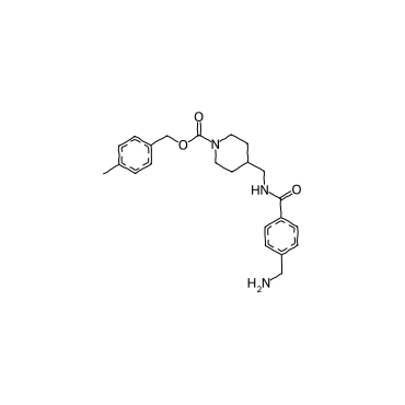 Cc1ccc(COC(=O)N2CCC(CNC(=O)c3ccc(CN)cc3)CC2)cc1